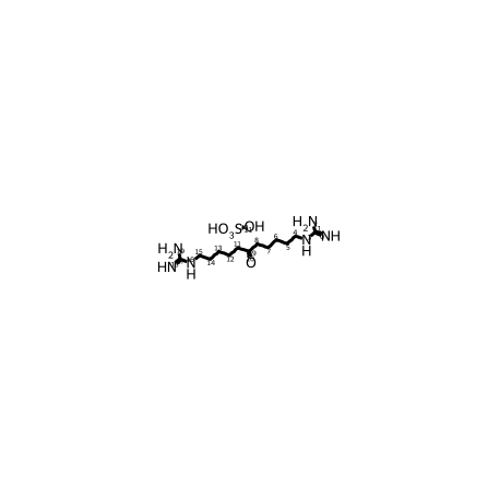 N=C(N)NCCCCCC(=O)CCCCCNC(=N)N.O=S(=O)(O)O